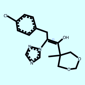 CC1(/C(O)=C(/Cc2ccc(Cl)cc2)n2cncn2)COCOC1